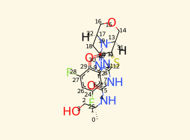 C[C@H](CO)NC(=O)Nc1nc2c(s1)[C@@H]1COC[C@H](C2)N1c1nc2cc(F)cc(F)c2o1